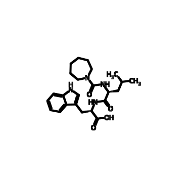 CC(C)C[C@H](NC(=O)N1CCCCCC1)C(=O)N[C@H](Cc1c[nH]c2ccccc12)C(=O)O